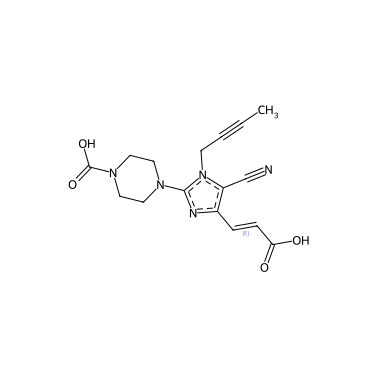 CC#CCn1c(N2CCN(C(=O)O)CC2)nc(/C=C/C(=O)O)c1C#N